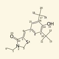 CCN1CS/C(=C\c2cc(C(C)(C)C)c(O)c(C(C)(C)C)c2)C1=O